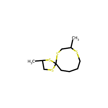 CC1CSC2(CCCCS1)SCC(C)S2